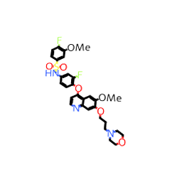 COc1cc(S(=O)(=O)Nc2ccc(Oc3ccnc4cc(OCCCN5CCOCC5)c(OC)cc34)c(F)c2)ccc1F